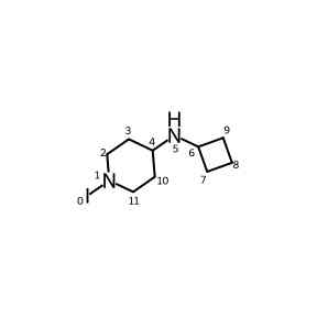 IN1CCC(NC2CCC2)CC1